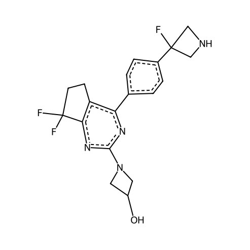 OC1CN(c2nc(-c3ccc(C4(F)CNC4)cc3)c3c(n2)C(F)(F)CC3)C1